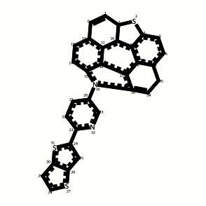 C1=CC2Sc3ccc4c5c3c2c2c1ccc1c2c5c(n1-c1ccc(-c2cc3sccc3s2)nc1)=CC4